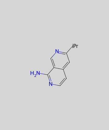 CC(C)c1cc2ccnc(N)c2cn1